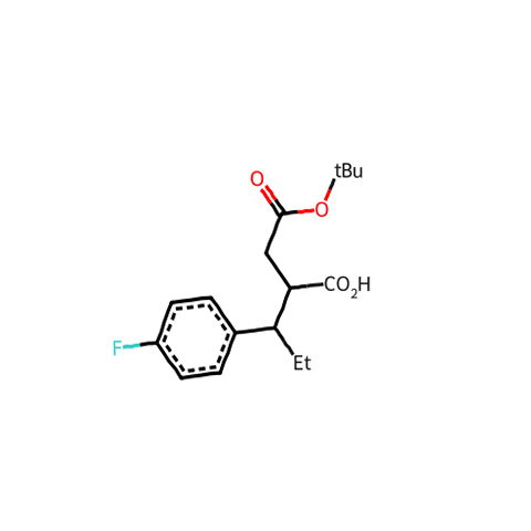 CCC(c1ccc(F)cc1)C(CC(=O)OC(C)(C)C)C(=O)O